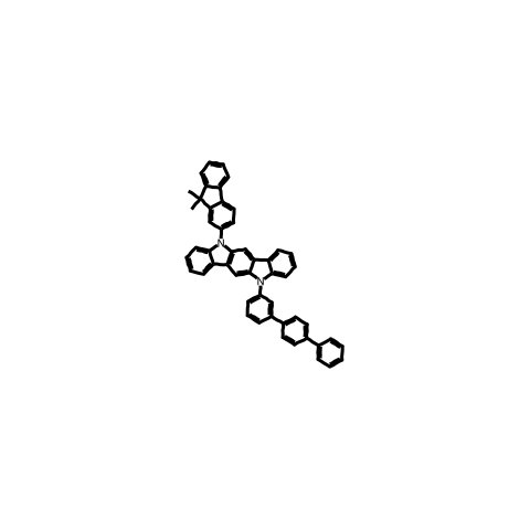 CC1(C)c2ccccc2-c2ccc(-n3c4ccccc4c4cc5c(cc43)c3ccccc3n5-c3cccc(-c4ccc(-c5ccccc5)cc4)c3)cc21